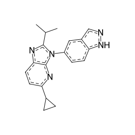 CC(C)c1nc2ccc(C3CC3)nc2n1-c1ccc2[nH]ncc2c1